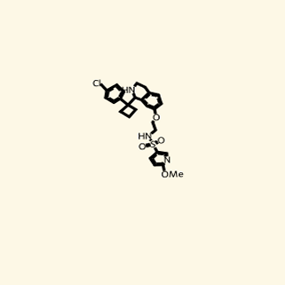 COc1ccc(S(=O)(=O)NCCOc2ccc3c(c2)C(C2(c4ccc(Cl)cc4)CCC2)NCC3)cn1